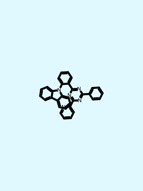 c1ccc(-c2nc(-c3ccccn3)nc(-c3ccccc3-n3c4ccccc4c4ccccc43)n2)cc1